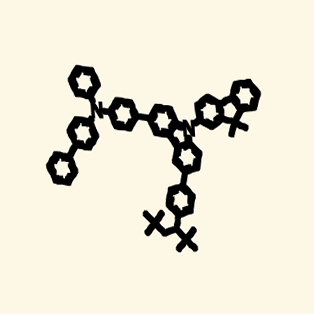 CC(C)(C)CC(c1ccc(-c2ccc3c(c2)c2cc(-c4ccc(N(c5ccccc5)c5ccc(-c6ccccc6)cc5)cc4)ccc2n3-c2ccc3c(c2)C(C)(C)c2ccccc2-3)cc1)C(C)(C)C